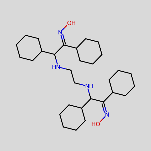 ON=C(C1CCCCC1)C(NCCNC(C(=NO)C1CCCCC1)C1CCCCC1)C1CCCCC1